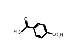 O=C(O)c1ccc(C(=O)[SiH3])cc1